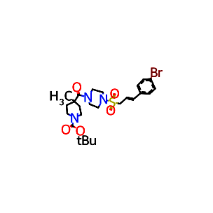 CC(C)(C)OC(=O)N1CCC(C)(C(=O)N2CCN(S(=O)(=O)CC=Cc3ccc(Br)cc3)CC2)CC1